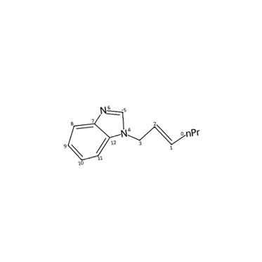 CCCC=CCn1[c]nc2ccccc21